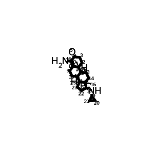 C[C@]12CCC(=O)C(N)=C1CC[C@@H]1[C@@H]2CC[C@]2(C)C(NC3CC3)CC[C@@H]12